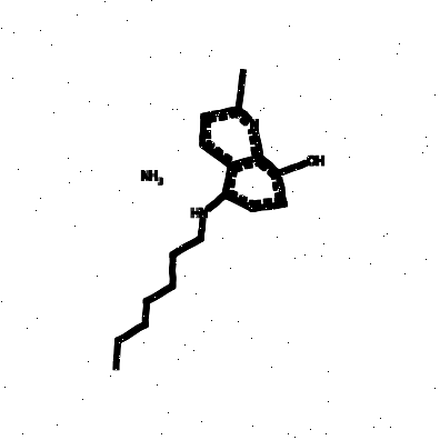 CCCCCCCNc1ccc(O)c2nc(C)ccc12.N